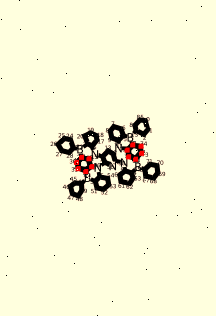 c1ccc(B2c3ccccc3N(c3cc(N4c5ccccc5B(c5ccccc5)c5ccccc54)c(N4c5ccccc5B(c5ccccc5)c5ccccc54)nc3N3c4ccccc4B(c4ccccc4)c4ccccc43)c3ccccc32)cc1